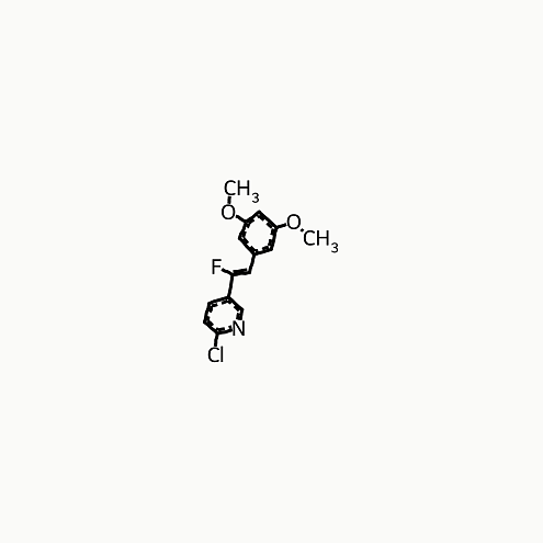 COc1cc(/C=C(\F)c2ccc(Cl)nc2)cc(OC)c1